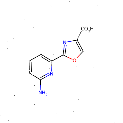 Nc1cccc(-c2nc(C(=O)O)co2)n1